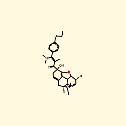 CCOc1ccc(/C(=C(\C)C(=O)C2(O)CC=C3C[C@@H]4[C@@H]5C=C[C@H](O)[C@@H]6OC2=C3[C@]56CCN4C)N(C)C)cc1